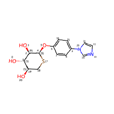 O[C@@H]1[C@@H](O)[C@@H](Oc2ccc(-n3ccnc3)cc2)SC[C@H]1O